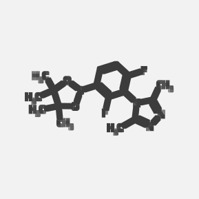 Cc1nnc(C)n1-c1c(F)ccc(B2OC(C)(C)C(C)(C)O2)c1F